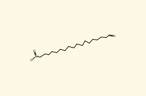 O=[C]CCCCCCCCCCCCCCCCC[N+](=O)[O-]